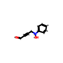 O=CC#CCN(O)c1c[c]ccc1